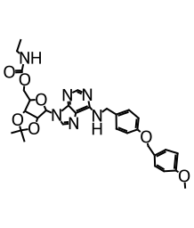 CCNC(=O)OCC1OC(n2cnc3c(NCc4ccc(OCc5ccc(OC)cc5)cc4)ncnc32)C2OC(C)(C)OC12